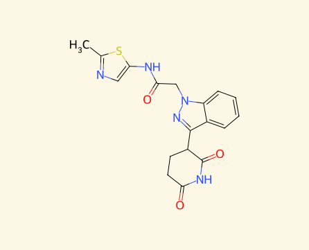 Cc1ncc(NC(=O)Cn2nc(C3CCC(=O)NC3=O)c3ccccc32)s1